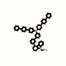 CCn1c2c(c3ccccc31)C(c1cccc(-c3cccc(N(c4ccc(-c5ccc(-c6ccccc6)cc5)cc4)C4C=CC(c5ccc(-c6ccccc6)cc5)=CC4)c3)c1)=CCC2